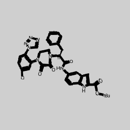 CC(C)(C)OC(=O)c1cc2cc(NC(=O)[C@H](Cc3ccccc3)N3CCN(c4cc(Cl)ccc4-n4cnnn4)C(=O)C3=O)ccc2[nH]1